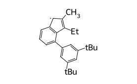 CCC1=C(C)[CH]c2cccc(-c3cc(C(C)(C)C)cc(C(C)(C)C)c3)c21